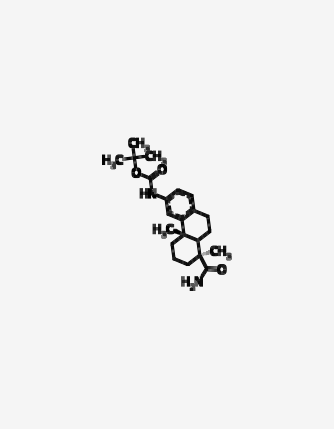 CC(C)(C)OC(=O)Nc1ccc2c(c1)[C@@]1(C)CCC[C@](C)(C(N)=O)C1CC2